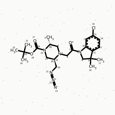 C[C@@H]1CN(CC(=O)N2CC(C)(C)c3ccc(Cl)cc32)[C@@H](CN=[N+]=[N-])CN1C(=O)OC(C)(C)C